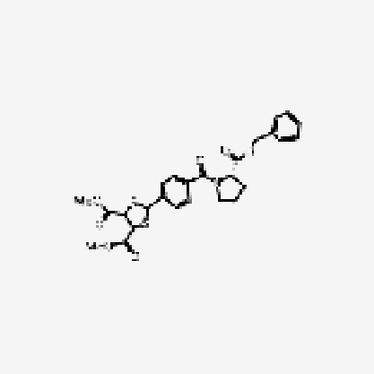 COC(=O)C1SC(c2ccc(C(=O)N3CCC[C@H]3C(=O)OCc3ccccc3)cc2)SC1C(=O)OC